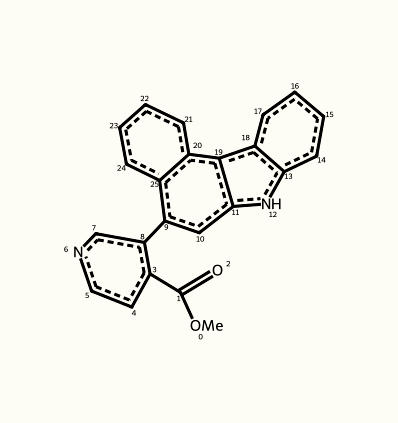 COC(=O)c1ccncc1-c1cc2[nH]c3ccccc3c2c2ccccc12